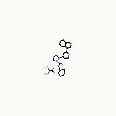 CNC(C)C(=O)N[C@H](C(=O)N1CCCC1c1ccnc(-c2cncc3ccccc23)c1)C1CCCCC1